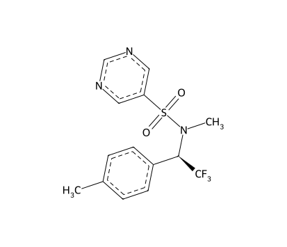 Cc1ccc([C@@H](N(C)S(=O)(=O)c2cncnc2)C(F)(F)F)cc1